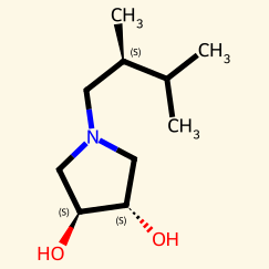 CC(C)[C@H](C)CN1C[C@H](O)[C@@H](O)C1